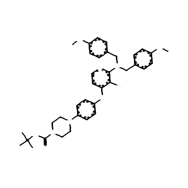 COc1ccc(CN(Cc2ccc(OC)cc2)c2nccc(Nc3ccc(N4CCN(C(=O)OC(C)(C)C)CC4)cc3)c2N)cc1